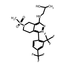 CC(O)CNc1nnc(-c2ccc(C(F)(F)F)cc2C(F)(F)F)c2c1CN(S(C)(=O)=O)CC2